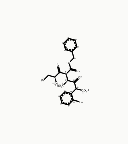 CC(C)C[C@H](N)C(=O)N(C(=O)OCc1ccccc1)[C@H](C(=O)O)C(=O)C(C(=O)O)c1ccccc1F